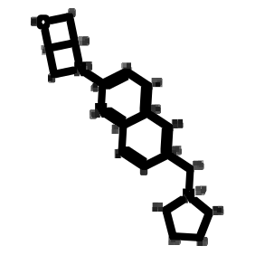 c1cc2nc(N3CC4OCC43)ccc2cc1CN1CCCC1